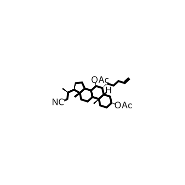 C=CCCC[C@H]1[C@@H](OC(C)=O)C2C3CC[C@H]([C@H](C)CC#N)C3(C)CCC2[C@@]2(C)CC[C@@H](OC(C)=O)C[C@@H]12